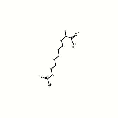 CC(CCCCCCCCC(=O)O)C(=O)O